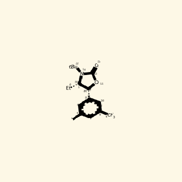 CC[C@H]1[C@@H](c2cc(C)cc(C(F)(F)F)c2)OC(=O)N1C(C)(C)C